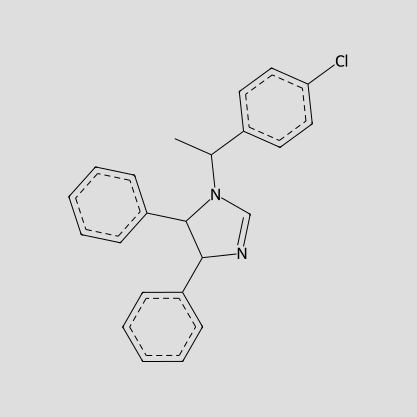 CC(c1ccc(Cl)cc1)N1C=NC(c2ccccc2)C1c1ccccc1